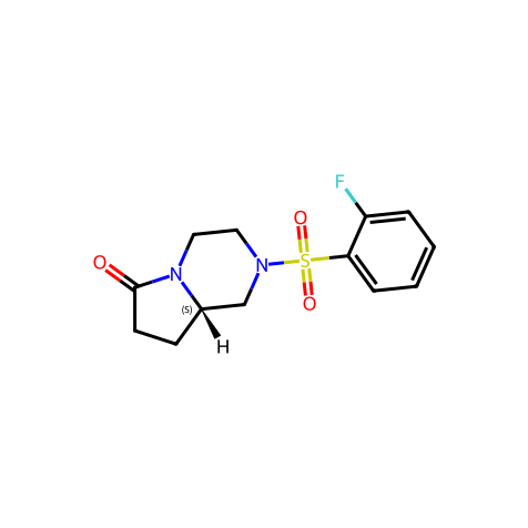 O=C1CC[C@H]2CN(S(=O)(=O)c3ccccc3F)CCN12